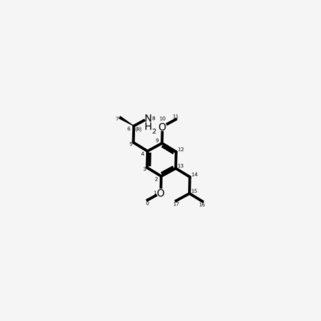 COc1cc(C[C@@H](C)N)c(OC)cc1CC(C)C